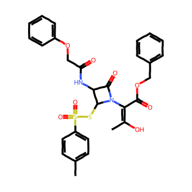 CC(O)=C(C(=O)OCc1ccccc1)N1C(=O)C(NC(=O)COc2ccccc2)C1SS(=O)(=O)c1ccc(C)cc1